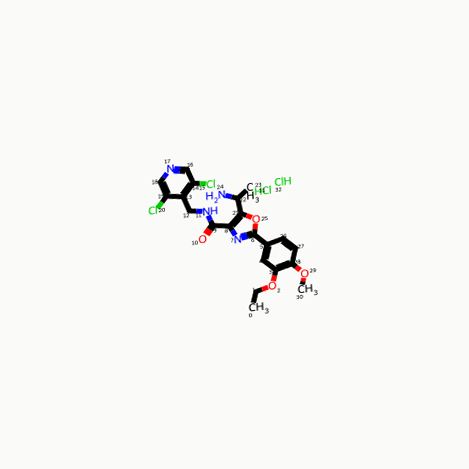 CCOc1cc(-c2nc(C(=O)NCc3c(Cl)cncc3Cl)c(C(C)N)o2)ccc1OC.Cl.Cl